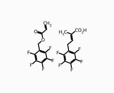 C=CC(=O)OCc1c(F)c(F)c(F)c(F)c1F.CC(=CCc1c(F)c(F)c(F)c(F)c1F)C(=O)O